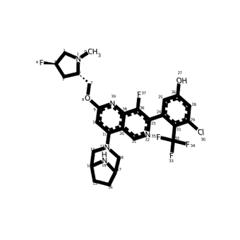 CN1C[C@H](F)C[C@H]1COc1cc(N2CC3CCC(C2)N3)c2cnc(-c3cc(O)cc(Cl)c3C(F)(F)F)c(F)c2n1